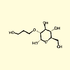 OCCCO[C@@H]1[C@@H](O)[C@H](O)[C@@H](CO)O[C@@H]1O